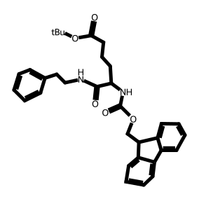 CC(C)(C)OC(=O)CCCC(NC(=O)OCC1c2ccccc2-c2ccccc21)C(=O)NCCc1ccccc1